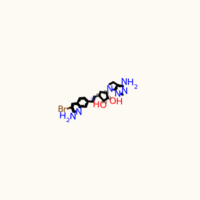 Nc1nc2cc(/C=C/[C@H]3C[C@@H](N4CCc5c(N)ncnc54)[C@H](O)[C@@H]3O)ccc2cc1Br